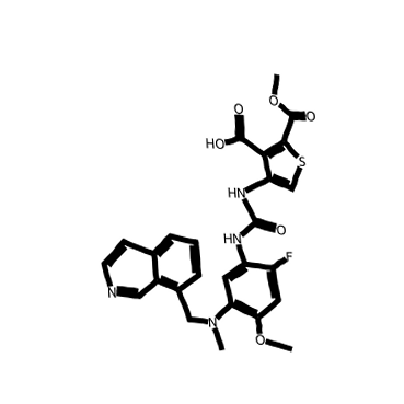 COC(=O)c1scc(NC(=O)Nc2cc(N(C)Cc3cccc4ccncc34)c(OC)cc2F)c1C(=O)O